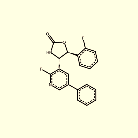 O=C1N[C@@H](c2cc(-c3ccccc3)cnc2F)[C@H](c2ccccc2F)O1